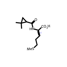 CSCC/C=C(\NC(=O)C1CC1(C)C)C(=O)O